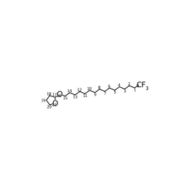 FC(F)(F)CCCCCCCCCCCCCCCOC1CCCO1